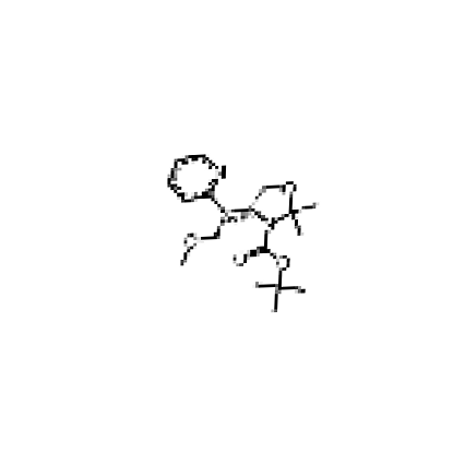 COC[C@@H](c1ccccn1)[C@@H]1COC(C)(C)N1C(=O)OC(C)(C)C